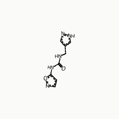 O=C(NCc1cn[nH]c1)Nc1ccno1